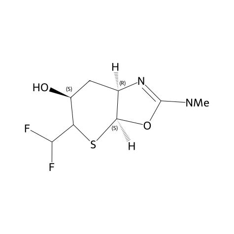 CNC1=N[C@@H]2C[C@H](O)C(C(F)F)S[C@@H]2O1